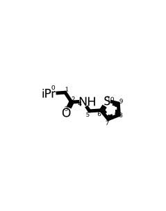 CC(C)CC(=O)NCc1cccs1